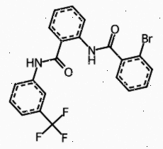 O=C(Nc1ccccc1C(=O)Nc1cccc(C(F)(F)F)c1)c1ccccc1Br